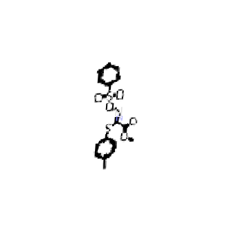 COC(=O)/C(=N/OS(=O)(=O)c1ccccc1)Sc1ccc(C)cc1